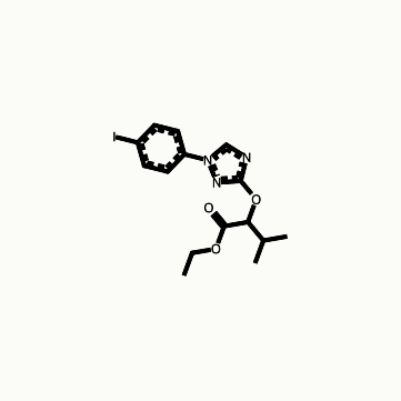 CCOC(=O)C(Oc1ncn(-c2ccc(I)cc2)n1)C(C)C